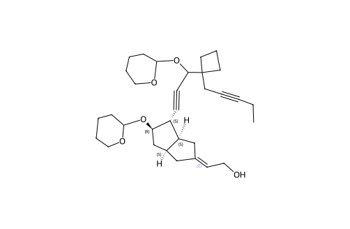 CCC#CCC1(C(C#C[C@@H]2[C@H]3C/C(=C\CO)C[C@H]3C[C@H]2OC2CCCCO2)OC2CCCCO2)CCC1